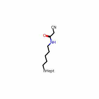 CCCCCCCCCCCCNC(=O)CC#N